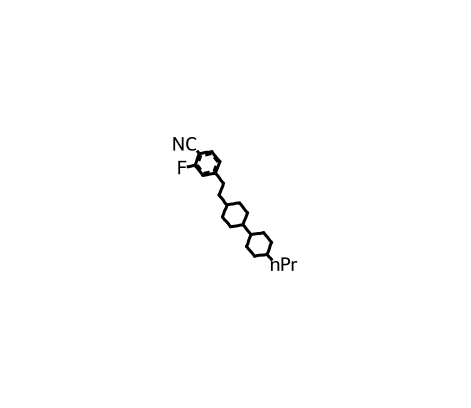 CCCC1CCC(C2CCC(CCc3ccc(C#N)c(F)c3)CC2)CC1